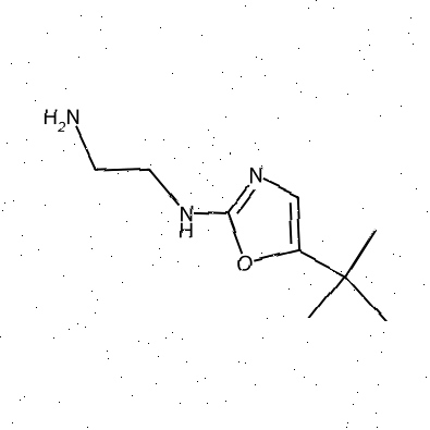 CC(C)(C)c1cnc(NCCN)o1